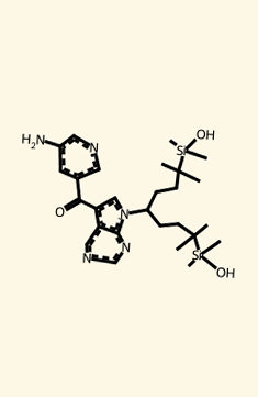 CC(C)(CCC(CCC(C)(C)[Si](C)(C)O)n1cc(C(=O)c2cncc(N)c2)c2cncnc21)[Si](C)(C)O